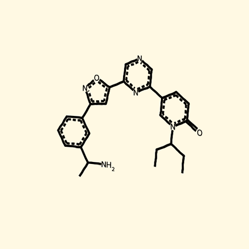 CCC(CC)n1cc(-c2cncc(-c3cc(-c4cccc(C(C)N)c4)no3)n2)ccc1=O